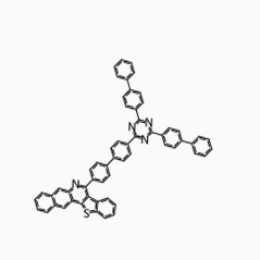 c1ccc(-c2ccc(-c3nc(-c4ccc(-c5ccccc5)cc4)nc(-c4ccc(-c5ccc(-c6nc7cc8ccccc8cc7c7sc8ccccc8c67)cc5)cc4)n3)cc2)cc1